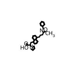 Cc1oc(-c2ccccc2)nc1CCCc1cccc2c(CC(C(=O)O)n3cccc3)cccc12